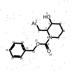 CC(=O)CC1C(O)CCCN1C(=O)OCc1ccccc1